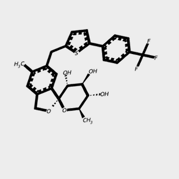 Cc1cc2c(cc1Cc1ccc(-c3ccc(C(F)(F)F)cc3)s1)[C@]1(OC2)O[C@H](C)[C@@H](O)[C@H](O)[C@H]1O